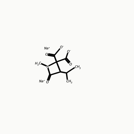 CC(C)C1C(=O)N(C)C1(C(=O)[O-])C(=O)[O-].[Na+].[Na+]